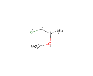 CC(C)(C)C(CCl)OC(=O)O